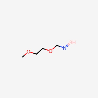 B=NCOCCOC